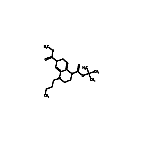 CCCCN1CCN(C(=O)OC(C)(C)C)C2=CCC(C(=O)OC)C=C21